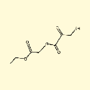 CCOC(=O)COC(=O)C(=O)CS